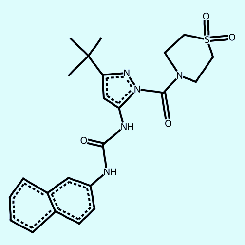 CC(C)(C)c1cc(NC(=O)Nc2ccc3ccccc3c2)n(C(=O)N2CCS(=O)(=O)CC2)n1